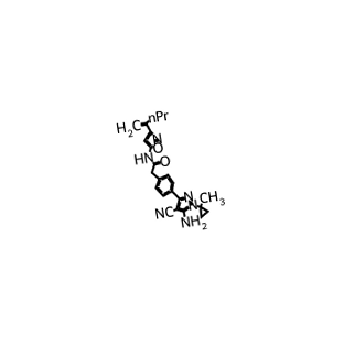 C=C(CCC)c1cc(NC(=O)Cc2ccc(-c3nn(C4(C)CC4)c(N)c3C#N)cc2)on1